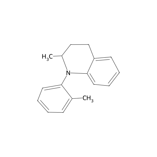 Cc1ccccc1N1c2ccccc2CCC1C